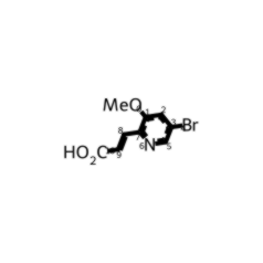 COc1cc(Br)cnc1/C=C/C(=O)O